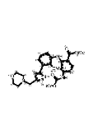 CNC(=O)c1cnc(NC(=O)OC)cc1Nc1cccc(-c2noc(CN3CCOCC3)n2)c1OC